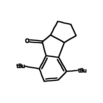 CC(C)(C)c1ccc(C(C)(C)C)c2c1C(=O)C1CCCC21